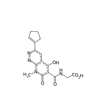 Cn1c(=O)c(C(=O)NCC(=O)O)c(O)c2cc(C3=CCCC3)nnc21